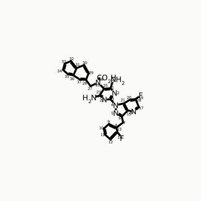 Nc1nc(-n2nc(Cc3ccccc3F)c3ncc(F)cc32)nc(N)c1N(Cc1ccc2ccccc2c1)C(=O)O